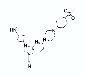 CNC1CC(n2cc(C#N)c3ccc(N4CCN([C@H]5CC[C@H](S(C)(=O)=O)CC5)CC4)nc32)C1